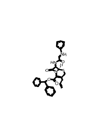 C=CCC1=C(C(=O)OC(c2ccccc2)c2ccccc2)N2C(=O)C(NC(=O)CNc3ccccc3)[C@H]2SC1